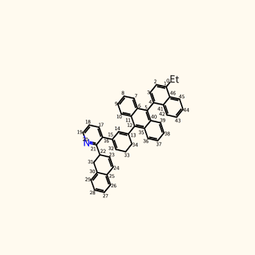 CCc1ccc(-c2c3ccccc3c(C3=CC(c4cccnc4C4C=Cc5ccccc5C4)=CCC3)c3ccccc23)c2ccccc12